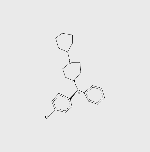 Clc1ccc([C@H](c2ccccc2)N2CCN(C3CCCCC3)CC2)cc1